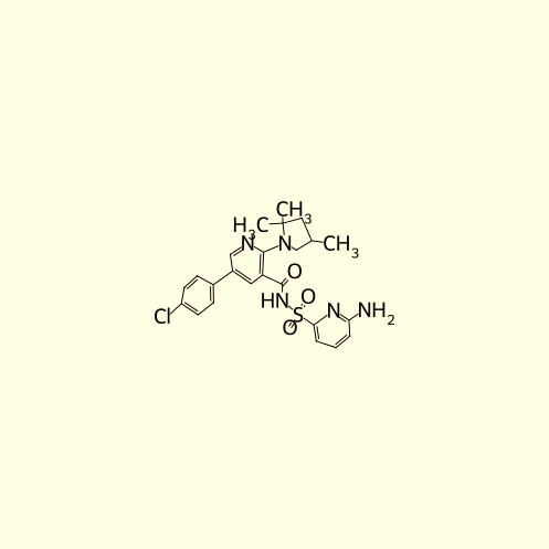 CC1CN(c2ncc(-c3ccc(Cl)cc3)cc2C(=O)NS(=O)(=O)c2cccc(N)n2)C(C)(C)C1